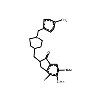 COc1cc2c(c(F)c1OC)CC(CC1CCN(Cc3ccc(C)cc3)CC1)C2=O